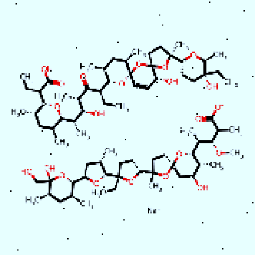 CC[C@@H](C(=O)O)[C@@H]1O[C@@H]([C@@H](C)[C@H](O)[C@H](C)C(=O)[C@H](CC)[C@H]2O[C@]3(C=C[C@@H](O)[C@]4(CC[C@@](C)([C@H]5CC[C@](O)(CC)[C@H](C)O5)O4)O3)[C@H](C)C[C@@H]2C)[C@@H](C)C[C@@H]1C.CC[C@@]1([C@@H]2O[C@@H]([C@H]3O[C@@](O)(CO)[C@H](C)C[C@@H]3C)C[C@@H]2C)CC[C@H]([C@]2(C)CC[C@]3(C[C@H](O)[C@@H](C)[C@@H]([C@@H](C)[C@@H](OC)C(C)C(=O)[O-])O3)O2)O1.[Na+]